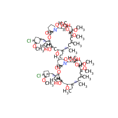 CC[C@@H]1/C=C(\C)C[C@H](C)C[C@H](OC)[C@H]2O[C@@](O)(C(=O)C(=O)N3CCCC[C@H]3C(=O)O[C@H](/C(C)=C/[C@@H]3CC[C@@H](Cl)[C@H](OC)C3)[C@H](C)[C@@H](O)CC1=O)[C@H](C)C[C@@H]2OC.CC[C@@H]1/C=C(\C)C[C@H](C)C[C@H](OC)[C@H]2O[C@@](O)(C(=O)C(=O)N3CCCC[C@H]3C(=O)O[C@H](/C(C)=C/[C@@H]3CC[C@@H](Cl)[C@H](OC)C3)[C@H](C)[C@@H](O)CC1=O)[C@H](C)C[C@@H]2OC